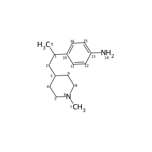 CC(CC1CCN(C)CC1)c1ccc(N)cc1